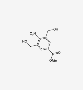 COC(=O)c1cc(CO)c([N+](=O)[O-])c(CO)c1